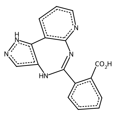 O=C(O)c1ccccc1C1=Nc2ncccc2-c2[nH]ncc2N1